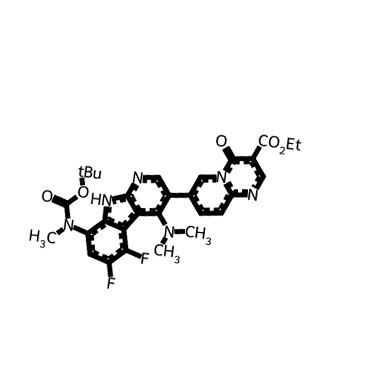 CCOC(=O)c1cnc2ccc(-c3cnc4[nH]c5c(N(C)C(=O)OC(C)(C)C)cc(F)c(F)c5c4c3N(C)C)cn2c1=O